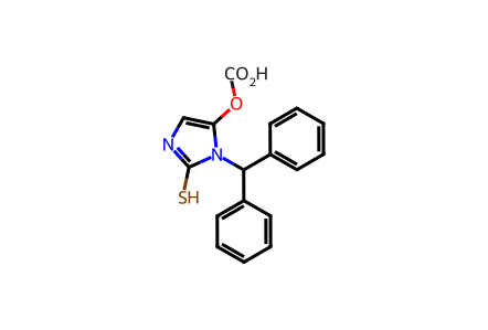 O=C(O)Oc1cnc(S)n1C(c1ccccc1)c1ccccc1